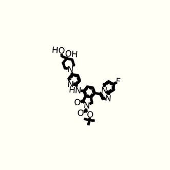 CC(C)(C)OC(=O)N1Cc2c(-c3cnc4cc(F)ccn34)ccc(Nc3ccc(N4CCC(O)(CO)CC4)cn3)c2C1=O